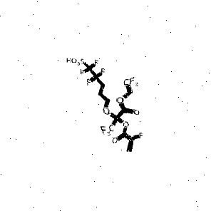 C=C(F)C(=O)OC(OCCCC(F)(F)C(F)(F)S(=O)(=O)O)(C(=O)OCC(F)(F)F)C(F)(F)F